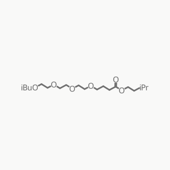 CC(C)CCOC(=O)CCCOCCOCCOCCOCC(C)C